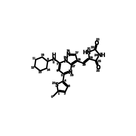 Cc1ccc(-c2cc(NC3CCCCC3)n3ncc(/C=C4\NC(=O)NC4=O)c3n2)s1